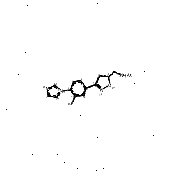 CC(=O)NCC1CC(c2ccc(-n3ccnc3)c(F)c2)=NO1